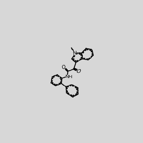 Cn1cc(C(=O)C(=O)Nc2ccccc2-c2ccccc2)c2ccccc21